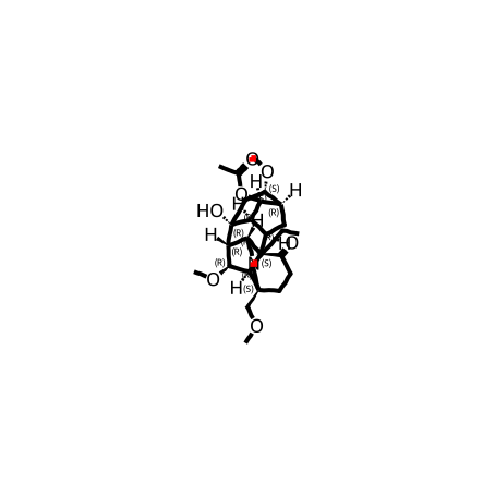 CCN1C[C@]2(COC)CCC(=O)[C@@]34[C@@H]5C[C@H]6[C@H](OC(C)=O)[C@@H]5[C@](O)(C[C@@H]6OC)[C@@H]([C@H](OC)[C@H]23)[C@@H]14